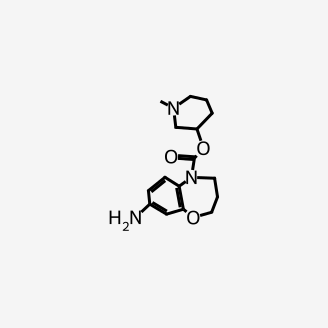 CN1CCCC(OC(=O)N2CCCOc3cc(N)ccc32)C1